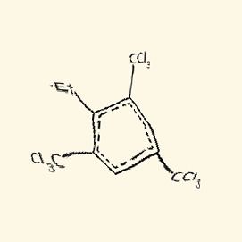 C[CH]c1c(C(Cl)(Cl)Cl)cc(C(Cl)(Cl)Cl)cc1C(Cl)(Cl)Cl